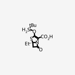 CC[C@@]12CC(=O)N1C(C(=O)O)=C(O[SiH2]C(C)(C)C)S2